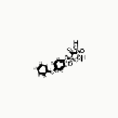 O=P(O)(O)C(=S)P(=O)(O)Oc1ccc(Sc2ccccc2)cc1